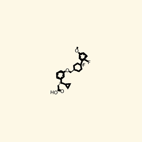 COc1ccc(F)c([C@]2(F)CC[C@H](COc3cccc([C@@H](CC(=O)O)C4CC4)c3)CC2)c1